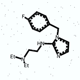 CCN(CC)CCNc1nccn1Cc1ccc(F)cc1